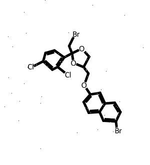 Clc1ccc(C2(CBr)OCC(COc3ccc4cc(Br)ccc4c3)O2)c(Cl)c1